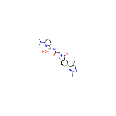 CN(C)c1cccc([C@@H](CO)NC(=O)CN2Cc3ccc(-c4nc(I)ncc4Cl)cc3C2=O)n1